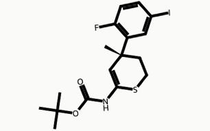 CC(C)(C)OC(=O)NC1=C[C@](C)(c2cc(I)ccc2F)CCS1